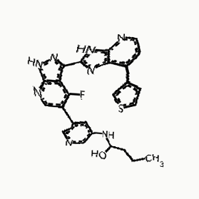 CCCC(O)Nc1cncc(-c2cnc3[nH]nc(-c4nc5c(-c6ccsc6)ccnc5[nH]4)c3c2F)c1